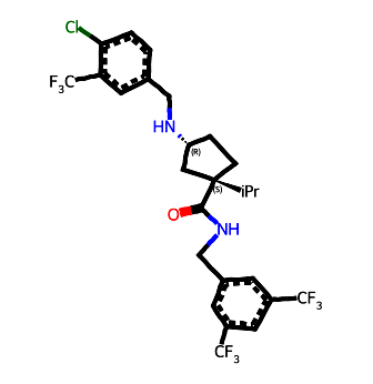 CC(C)[C@]1(C(=O)NCc2cc(C(F)(F)F)cc(C(F)(F)F)c2)CC[C@@H](NCc2ccc(Cl)c(C(F)(F)F)c2)C1